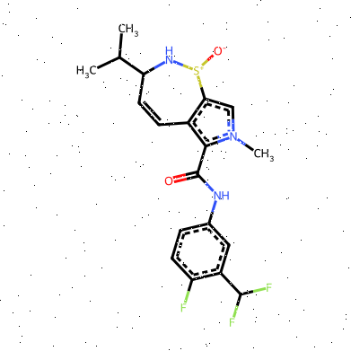 CC(C)C1C=Cc2c(cn(C)c2C(=O)Nc2ccc(F)c(C(F)F)c2)[S+]([O-])N1